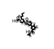 CCCC(F)C1CC(n2nc3cc(-c4cc(C(=O)NC5CC5)cc(F)c4C)ccn3c2=O)CCN1C(=O)O